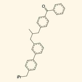 CC(C)Cc1ccc(-c2cccc(CC(C)Cc3ccc(C(=O)c4ccccc4)cc3)c2)cc1